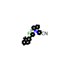 CC1(C)c2cccc3ccc4cc(-c5ccc(N(c6ccc(C#N)cc6)c6cccc7ccccc67)c(F)c5F)cc1c4c23